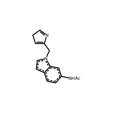 CC(=O)Nc1ccc2ccn(CC3=CCC=N3)c2c1